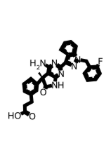 C[C@]1(c2cccc(CCC(=O)O)c2)C(=O)Nc2nc(-c3nn(Cc4ccccc4F)c4ccccc34)nc(N)c21